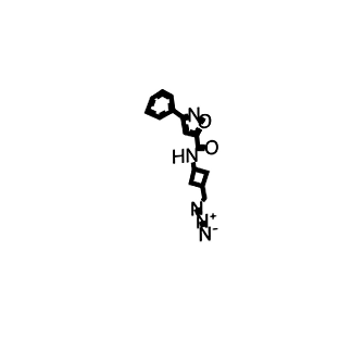 [N-]=[N+]=NCC1CC(NC(=O)c2cc(-c3ccccc3)no2)C1